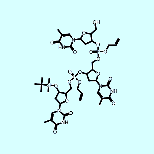 C=CCOP(=O)(OCC1OC(n2cc(C)c(=O)[nH]c2=O)CC1OP(=O)(OCC=C)OCC1OC(n2cc(C)c(=O)[nH]c2=O)CC1O[Si](C)(C)C(C)(C)C)OC1CC(n2cc(C)c(=O)[nH]c2=O)OC1CO